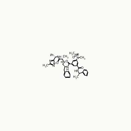 Cc1noc([C@@H](NC(=O)[C@H](C)NC[C@H](Cc2ccccc2)NC(=O)c2cc(C(=O)N[C@H](C)c3ccccc3)cc(N(C)S(C)(=O)=O)c2)C(C)C)n1